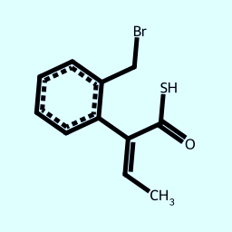 CC=C(C(=O)S)c1ccccc1CBr